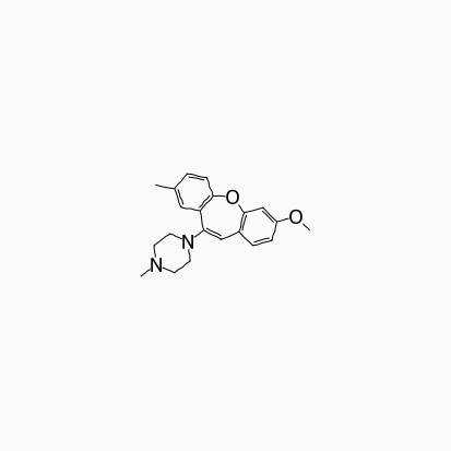 COc1ccc2c(c1)Oc1ccc(C)cc1C(N1CCN(C)CC1)=C2